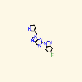 Fc1ccc2c(c1)ncn2-c1ncc2ncn(Cc3cccnc3)c2n1